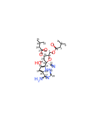 CC(C)CC(=O)OC[C@H]1O[C@@](C#N)(c2ccc3c(N)ncnn23)[C@H](O)[C@@H]1OC(=O)CC(C)C